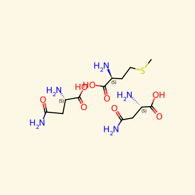 CSCC[C@H](N)C(=O)O.NC(=O)C[C@H](N)C(=O)O.NC(=O)C[C@H](N)C(=O)O